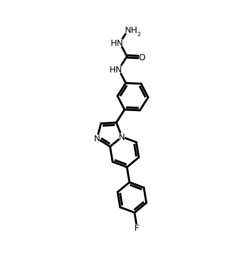 NNC(=O)Nc1cccc(-c2cnc3cc(-c4ccc(F)cc4)ccn23)c1